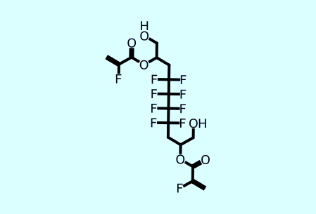 C=C(F)C(=O)OC(CO)CC(F)(F)C(F)(F)C(F)(F)C(F)(F)CC(CO)OC(=O)C(=C)F